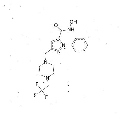 O=C(NO)c1cc(CN2CCN(CC(F)(F)F)CC2)nn1-c1ccccc1